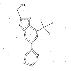 NCc1cc2cc(-c3cc[c]cn3)cc(C(F)(F)F)c2o1